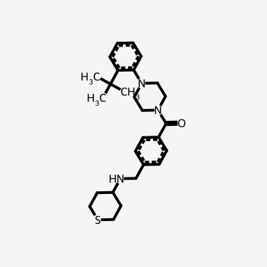 CC(C)(C)c1ccccc1N1CCN(C(=O)c2ccc(CNC3CCSCC3)cc2)CC1